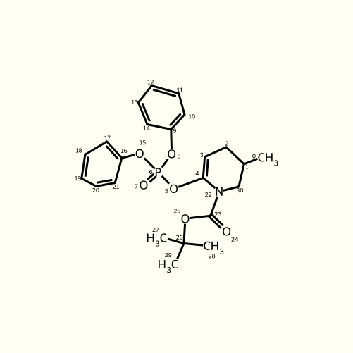 CC1CC=C(OP(=O)(Oc2ccccc2)Oc2ccccc2)N(C(=O)OC(C)(C)C)C1